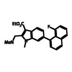 CCOC(=O)c1c(CNC)n(C)c2cc(-c3cccc4cccc(F)c34)ccc12